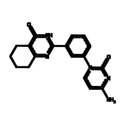 Nc1ccn(-c2cccc(-c3nc4c(c(=O)[nH]3)CCCC4)c2)c(=O)n1